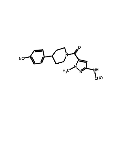 Cn1nc(NC=O)cc1C(=O)N1CCC(c2ccc(C#N)cc2)CC1